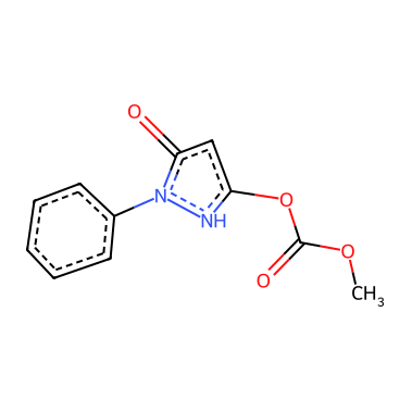 COC(=O)Oc1cc(=O)n(-c2ccccc2)[nH]1